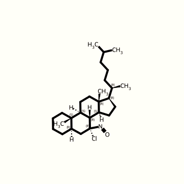 CC(C)CCC[C@@H](C)[C@H]1CC[C@H]2[C@H]3[C@H](CC[C@]12C)[C@@]1(C)CCCC[C@@H]1C[C@]3(Cl)N=O